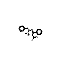 CCC(=O)CC(=NN(Cc1ccccc1)[SiH](C)C)c1ccccc1